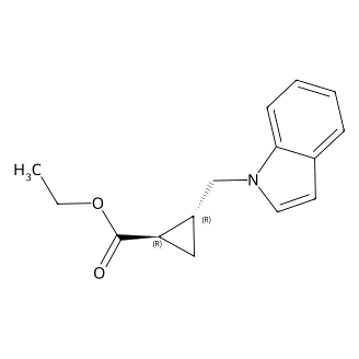 CCOC(=O)[C@@H]1C[C@H]1Cn1ccc2ccccc21